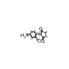 Nc1ccc(N2C(=O)CCC2=O)c(Cl)c1